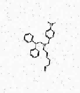 C=C/C=C\C=C\CN(Cc1ccc(N(C)C)cc1)CC(c1ccccc1)c1ccccc1